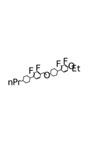 CCCC1CCC(c2ccc(COC3CCC(c4ccc(OCC)c(F)c4F)CC3)c(F)c2F)CC1